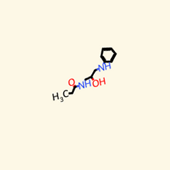 CCC(=O)NCC(O)CNc1ccccc1